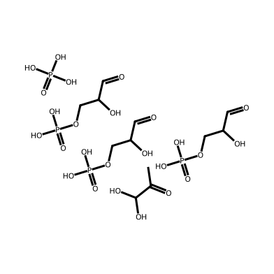 CC(=O)C(O)O.O=CC(O)COP(=O)(O)O.O=CC(O)COP(=O)(O)O.O=CC(O)COP(=O)(O)O.O=P(O)(O)O